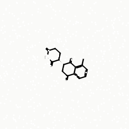 Cc1cccc2c1C(=O)[C@H](C1CCC(=O)NC1=O)CC2=O